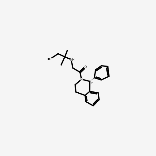 CC(C)(CO)NCC(=O)N1CCc2ccccc2[C@H]1c1ccccc1